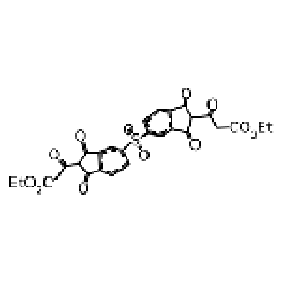 CCOC(=O)CC(=O)C1C(=O)c2ccc(S(=O)(=O)c3ccc4c(c3)C(=O)C(C(=O)CC(=O)OCC)C4=O)cc2C1=O